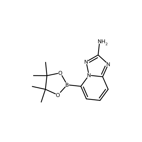 CC1(C)OB(c2cccc3nc(N)nn23)OC1(C)C